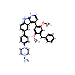 COc1cc(-c2ccnc3[nH]c4ccc(-c5ccc(N6CCN(C)CC6)cc5)cc4c23)c(OC)cc1Cc1ccccc1